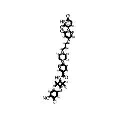 CC1(C)C(NC(=O)c2ccc(N3CCN(CCCOc4cnn([C@@H]5CCC(=O)NC5=O)c(=O)c4)CC3)nc2)C(C)(C)C1Oc1ccc(C#N)c(Cl)c1